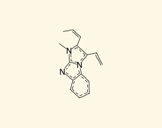 C=Cc1c(/C=C\C)n(C)c2nc3ccccc3n12